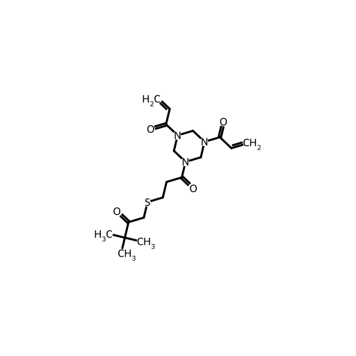 C=CC(=O)N1CN(C(=O)C=C)CN(C(=O)CCSCC(=O)C(C)(C)C)C1